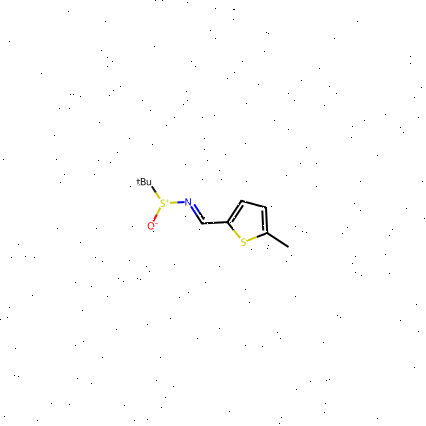 Cc1ccc(C=N[S+]([O-])C(C)(C)C)s1